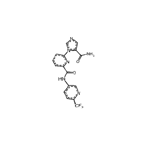 NC(=O)c1cncn1-c1cccc(C(=O)Nc2ccc(C(F)(F)F)nc2)n1